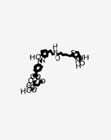 O=C(CCCCC1SCC2NC(=O)NC21)NCCc1ccc(O)c(/N=N/c2ccc(C(=O)ON3C(=O)CC(S(=O)(=O)O)C3=O)cc2)c1